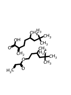 C=C(CCC(C)CC(C)(C)C)C(=O)O.C=CC(=O)OCCC(C)CC(C)(C)C